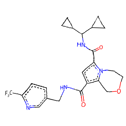 O=C(NCc1ccc(C(F)(F)F)nc1)c1cc(C(=O)NC(C2CC2)C2CC2)n2c1COCC2